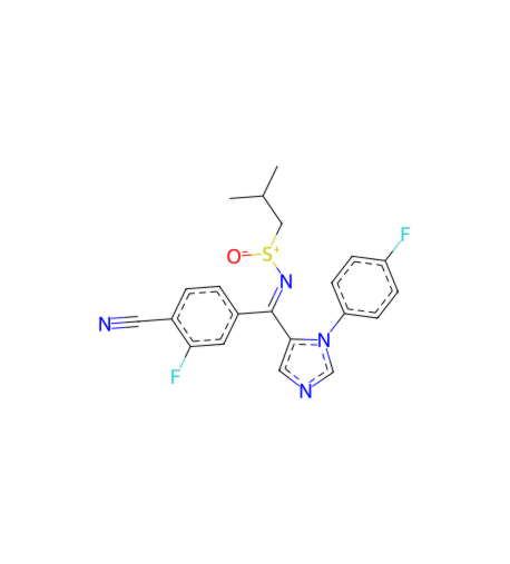 CC(C)C[S+]([O-])/N=C(\c1ccc(C#N)c(F)c1)c1cncn1-c1ccc(F)cc1